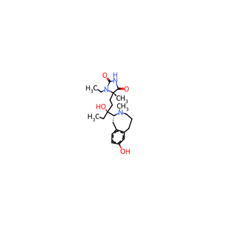 CCN1C(=O)NC(=O)[C@]1(C)CC[C@@](O)(CC)[C@H]1Cc2ccc(O)cc2CCCN1C